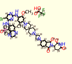 COc1cc(N2CCC3(CC2)CCN(C2CN(c4ccc5c(c4)C(=O)N(C4CCC(=O)NC4=O)C5=O)C2)CC3)c(C)cc1Nc1ncc(Br)c(Nc2ccc3nccnc3c2P(C)(C)=O)n1.O=C(O)C(F)(F)F